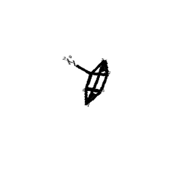 [2H]C12C3=C1C1=C3C12